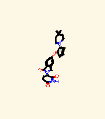 CC1(C)CCN([C@H]2CCC[C@H]2Oc2ccc3c(c2)CN(C2CCC(=O)NC2=O)C3=O)CC1